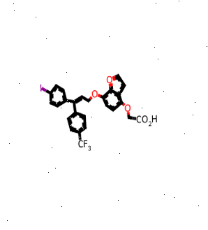 O=C(O)COc1ccc(OCC=C(c2ccc(I)cc2)c2ccc(C(F)(F)F)cc2)c2occc12